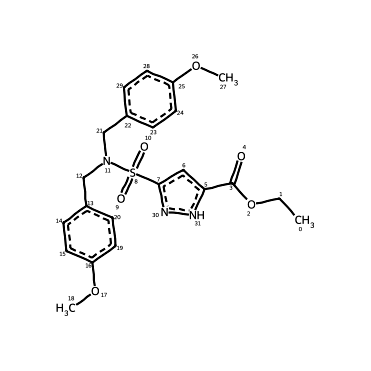 CCOC(=O)c1cc(S(=O)(=O)N(Cc2ccc(OC)cc2)Cc2ccc(OC)cc2)n[nH]1